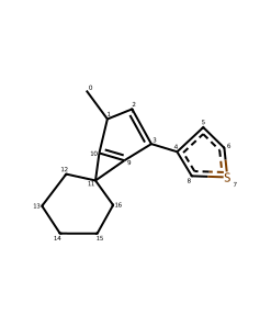 CC1[C]=C(c2ccsc2)C2=C1C21CCCCC1